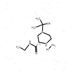 CC(C)(C#N)N1CCN[C@H](C(=O)NCC(F)(F)F)C1.CC(C)=O